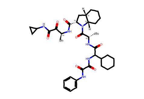 CCC[C@H](NC(=O)[C@@H]1C[C@@H]2CCCC[C@@H]2N1C(=O)[C@@H](NC(=O)C(NC(=O)C(=O)Nc1ccccc1)C1CCCCC1)C(C)(C)C)C(=O)C(=O)NC1CC1